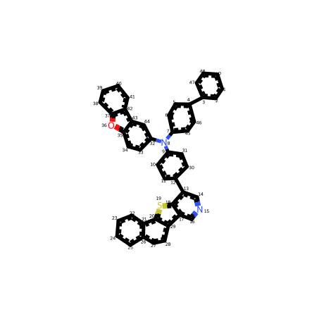 c1ccc(-c2ccc(N(c3ccc(-c4cncc5c4sc4c6ccccc6ccc54)cc3)c3ccc4oc5ccccc5c4c3)cc2)cc1